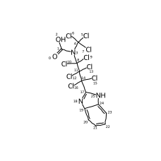 O=C(O)N(C(Cl)(Cl)Cl)C(Cl)(Cl)C(Cl)(Cl)C(Cl)(Cl)c1nc2ccccc2[nH]1